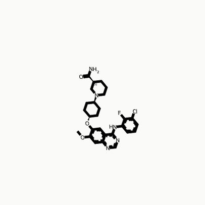 COc1cc2ncnc(Nc3cccc(Cl)c3F)c2cc1O[C@H]1CC[C@H](N2CCC[C@H](C(N)=O)C2)CC1